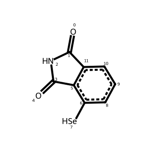 O=C1NC(=O)c2c([SeH])cccc21